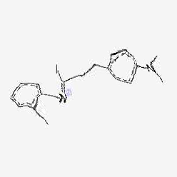 Cc1ccccc1/N=C(\I)CCc1ccc(N(C)C)cc1